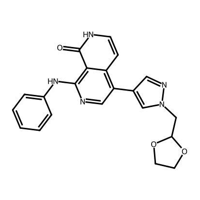 O=c1[nH]ccc2c(-c3cnn(CC4OCCO4)c3)cnc(Nc3ccccc3)c12